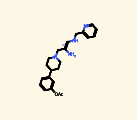 CC(=O)Oc1cccc(C2CCN(C/C(N)=C/NCc3ccccn3)CC2)c1